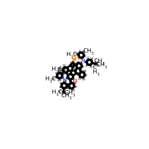 Cc1cc(C)cc(N(c2ccc(C(C)(C)C)cc2)c2ccc3c4c(c5ccccc5c3c2)-c2c(cc(N(c3ccc(C(C)(C)C)cc3)c3cc(C)cc(C)c3)c3c2oc2ccccc23)C42c3ccc(C)cc3-c3cc(P)ccc32)c1